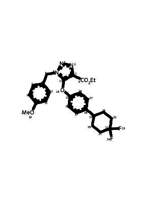 CCOC(=O)c1nnn(Cc2ccc(OC)cc2)c1Oc1ccc(C2CCC(F)(F)CC2)cc1